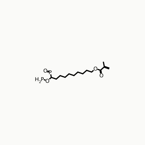 C=C(C)C(=O)OCCCCCCCCCC(OP)P=O